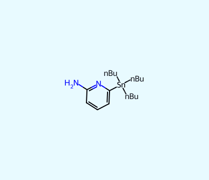 CCC[CH2][Sn]([CH2]CCC)([CH2]CCC)[c]1cccc(N)n1